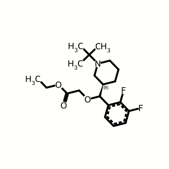 CCOC(=O)COC(c1cccc(F)c1F)[C@@H]1CCCN(C(C)(C)C)C1